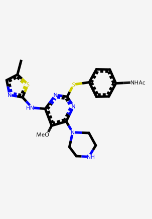 COc1c(Nc2ncc(C)s2)nc(Sc2ccc(NC(C)=O)cc2)nc1N1CCNCC1